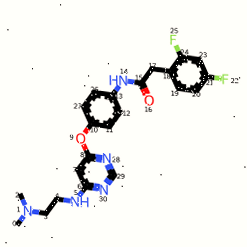 CN(C)CCNc1cc(Oc2ccc(NC(=O)Cc3ccc(F)cc3F)cc2)ncn1